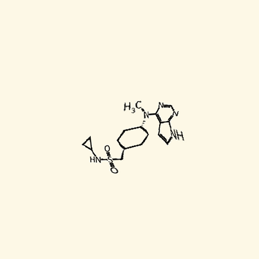 CN(c1ncnc2[nH]ccc12)[C@H]1CC[C@H](CS(=O)(=O)NC2CC2)CC1